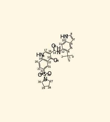 CC(C)(C)c1cc2cc[nH]c2cc1NC(=O)c1c[nH]c2ccc(S(=O)(=O)N3CCCC3)cc2c1=O